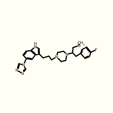 COCC(Cc1ccc(F)cc1)N1CCN(CCCc2c[nH]c3ccc(-n4cnnc4)cc23)CC1